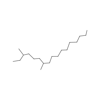 CCCCCCCCCCC(C)CCCC(C)CC